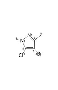 Cc1nn(C)c(Cl)c1Br